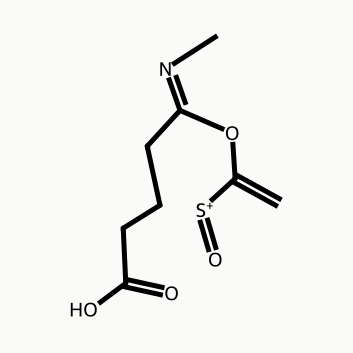 C=C(O/C(CCCC(=O)O)=N\C)[S+]=O